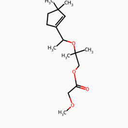 COCC(=O)OCC(C)(C)OC(C)C1=CC(C)(C)CC1